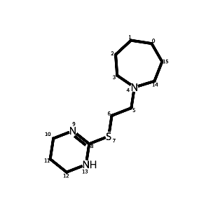 C1CCCN(CCSC2=NCCCN2)CC1